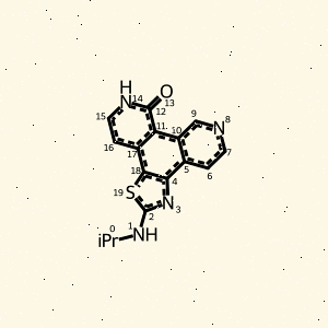 CC(C)Nc1nc2c3ccncc3c3c(=O)[nH]ccc3c2s1